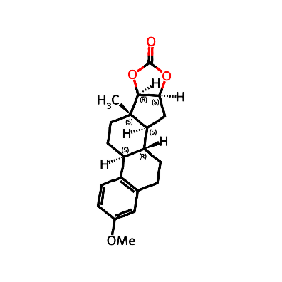 COc1ccc2c(c1)CC[C@@H]1[C@@H]2CC[C@@]2(C)[C@H]1C[C@@H]1OC(=O)O[C@@H]12